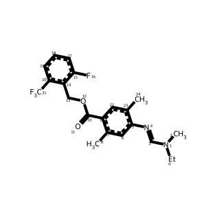 CCN(C)/C=N/c1cc(C)c(C(=O)OCc2c(F)cccc2C(F)(F)F)cc1C